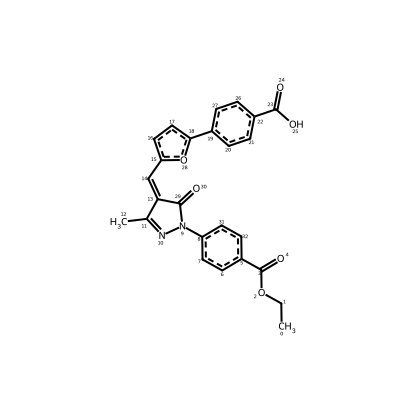 CCOC(=O)c1ccc(N2N=C(C)C(=Cc3ccc(-c4ccc(C(=O)O)cc4)o3)C2=O)cc1